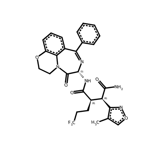 Cc1conc1[C@H](C(N)=O)[C@@H](CCC(F)(F)F)C(=O)N[C@H]1N=C(c2ccccc2)c2cccc3c2N(CCO3)C1=O